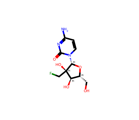 Nc1ccn([C@@H]2O[C@H](CO)[C@@H](O)[C@]2(O)CF)c(=O)n1